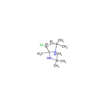 CC(N[Si](C)(C)C)(N[Si](C)(C)C)[SiH2]Cl